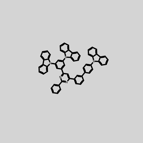 c1ccc(-c2nc(-c3cccc(-c4ccc(-n5c6ccccc6c6ccccc65)cc4)c3)cc(-c3cc(-n4c5ccccc5c5ccccc54)cc(-n4c5ccccc5c5ccccc54)c3)n2)cc1